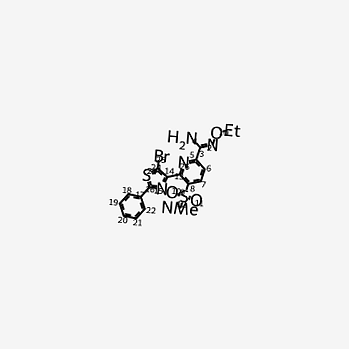 CCO/N=C(\N)c1ccc(S(=O)(=O)NC)c(-c2nc(-c3ccccc3)sc2Br)n1